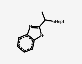 CCCCCCCC(C)C1=Nc2ccccc2[N]1